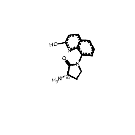 N[C@H]1CCN(c2cccc3ccc(O)nc23)C1=O